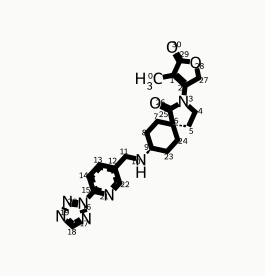 CC1=C(N2CC[C@]3(CC[C@@H](NCc4ccc(-n5ncnn5)nc4)CC3)C2=O)COC1=O